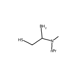 BC(CS)N(C)CCC